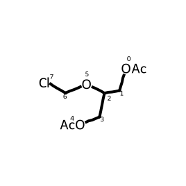 CC(=O)OCC(COC(C)=O)OCCl